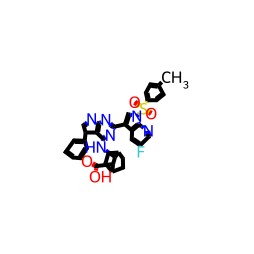 Cc1ccc(S(=O)(=O)n2cc(-c3nc4c(c(NC5C6CCC(CC6)C5C(=O)O)n3)C(c3ccccc3)C=N4)c3cc(F)cnc32)cc1